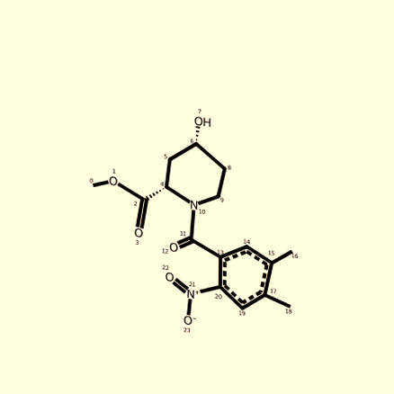 COC(=O)[C@@H]1C[C@H](O)CCN1C(=O)c1cc(C)c(C)cc1[N+](=O)[O-]